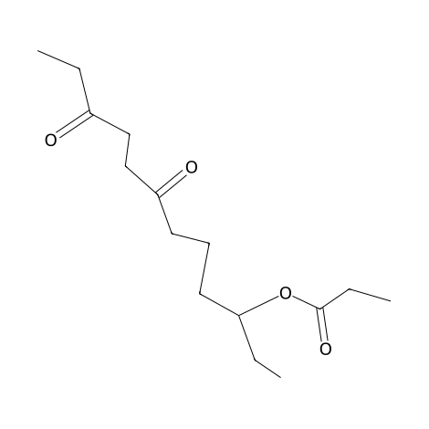 CCC(=O)CCC(=O)CCCC(CC)OC(=O)CC